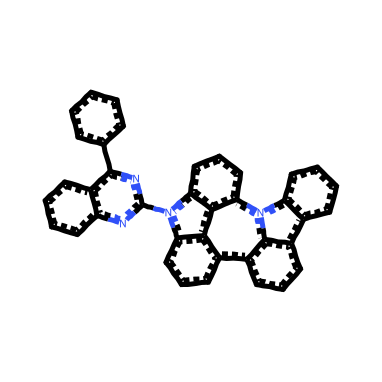 c1ccc(-c2nc(-n3c4cccc5c6cccc7c8ccccc8n(c8cccc3c8c54)c67)nc3ccccc23)cc1